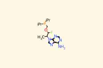 CC(C(F)OCP(C(C)C)C(C)C)n1cnc2c(N)ncnc21